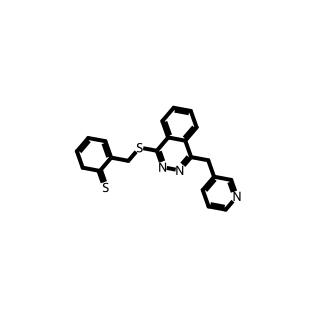 S=C1CC=CC=C1CSc1nnc(Cc2cccnc2)c2ccccc12